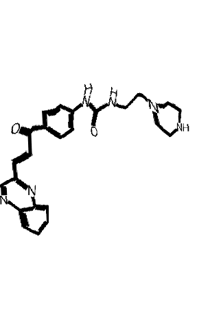 O=C(NCCN1CCNCC1)Nc1ccc(C(=O)C=Cc2cnc3ccccc3n2)cc1